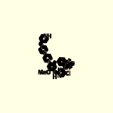 COc1cc(N2CCC(N3CCN(CC4CCNCC4)CC3)CC2)c(C)cc1Nc1ncc(Cl)c(Nc2ccccc2N(C)S(C)(=O)=O)n1